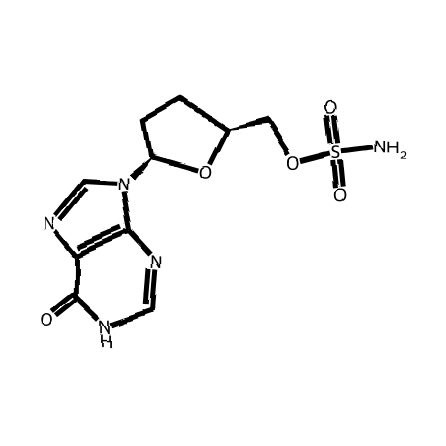 NS(=O)(=O)OC[C@@H]1CC[C@H](n2cnc3c(=O)[nH]cnc32)O1